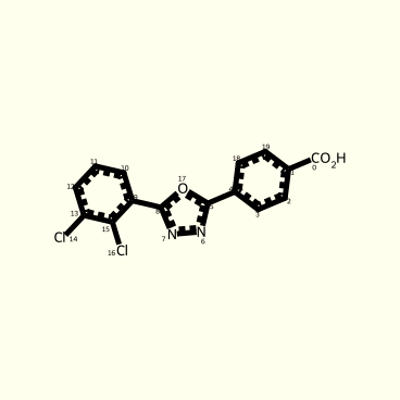 O=C(O)c1ccc(-c2nnc(-c3cccc(Cl)c3Cl)o2)cc1